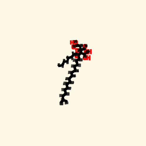 CCCCCCCC(=O)OC(CC(=O)O)(C(=O)O)C(CCCCCCCCCCCCCCCC(C)C)C(=O)O